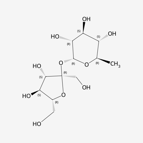 C[C@H]1O[C@H](O[C@@]2(CO)O[C@H](CO)[C@@H](O)[C@@H]2O)[C@H](O)[C@@H](O)[C@@H]1O